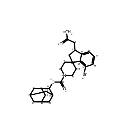 CC(=O)CC1CC2(CCN(C(=O)OC3C4CC5CC(C4)CC3C5)CC2)c2c(Br)cccc21